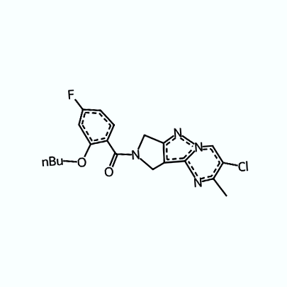 CCCCOc1cc(F)ccc1C(=O)N1Cc2nn3cc(Cl)c(C)nc3c2C1